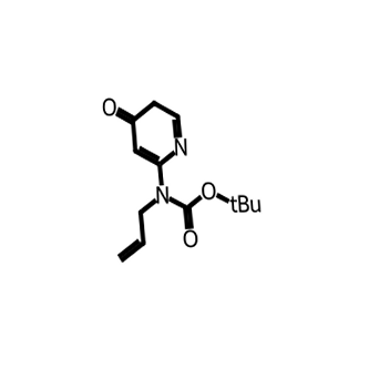 C=CCN(C(=O)OC(C)(C)C)C1=CC(=O)CC=N1